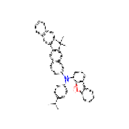 CC(C)c1ccc(N(c2ccc3cc4c(cc3c2)C(C)(C)c2cc3ccccc3cc2-4)c2cccc3c2oc2ccccc23)cc1